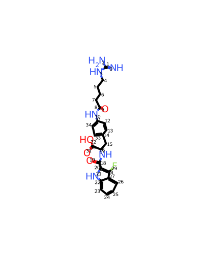 N=C(N)NCCCCC(=O)Nc1ccc(CC(NC(=O)c2[nH]c3ccccc3c2F)C(=O)O)cc1